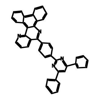 c1ccc(-c2cc(-c3ccccc3)nc(-c3ccc(-c4nc5c6ccccc6c6ccccc6c5c5ncccc45)cc3)n2)cc1